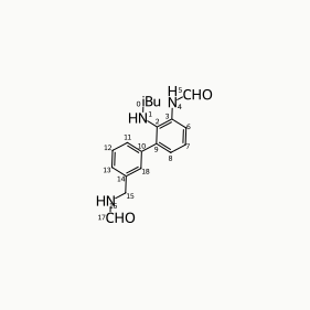 CCC(C)Nc1c(NC=O)cccc1-c1cccc(CNC=O)c1